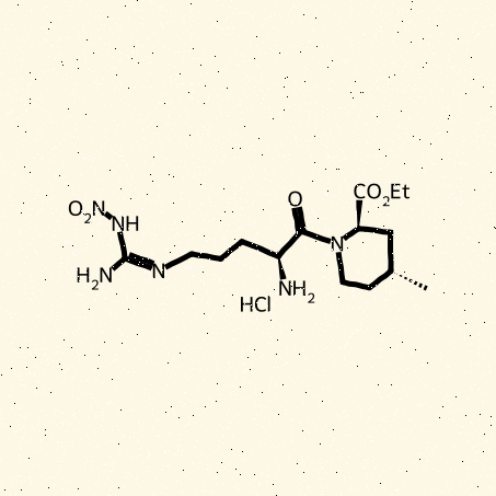 CCOC(=O)[C@H]1C[C@H](C)CCN1C(=O)[C@@H](N)CCCN=C(N)N[N+](=O)[O-].Cl